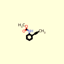 CC#Cc1ccccc1NC(=O)OC